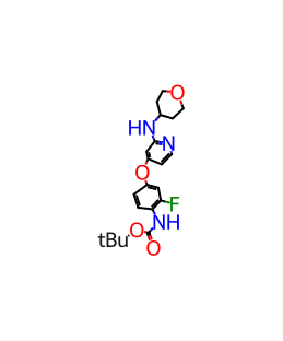 CC(C)(C)OC(=O)Nc1ccc(Oc2ccnc(NC3CCOCC3)c2)cc1F